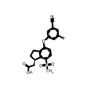 CS(=O)(=O)c1ccc(Oc2cc(F)cc(C#N)c2)c2c1[C@@H](CC(=O)O)CC2